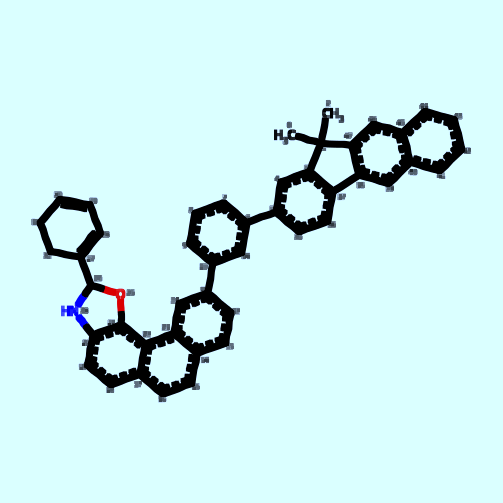 CC1(C)c2cc(-c3cccc(-c4ccc5ccc6ccc7c(c6c5c4)OC(C4=CC=CCC4)N7)c3)ccc2-c2cc3ccccc3cc21